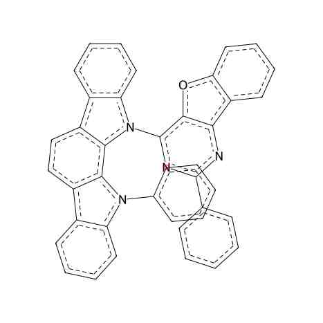 c1ccc(-c2nc(-n3c4ccccc4c4ccc5c6ccccc6n(-c6ccccc6)c5c43)c3oc4ccccc4c3n2)cc1